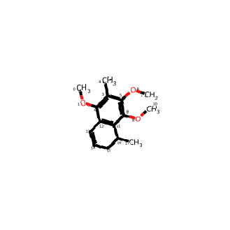 COc1c(C)c(OC)c(OC)c2c1C=CCC2C